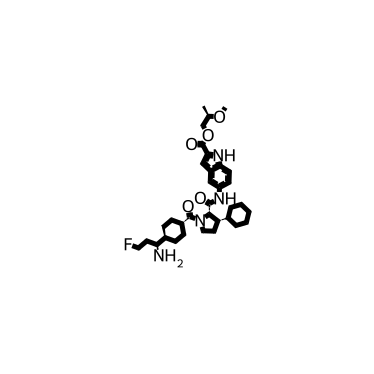 CO[C@H](C)COC(=O)c1cc2cc(NC(=O)[C@@H]3[C@H](C4CCCCC4)CCN3C(=O)[C@H]3CC[C@H]([C@H](N)CCF)CC3)ccc2[nH]1